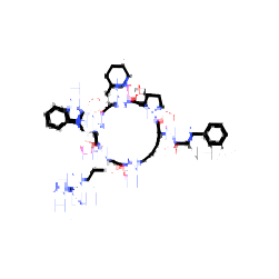 CC(=O)N[C@H](Cc1ccccc1)C(=O)N[C@H]1CCCNC(=O)[C@H](CCCNC(=N)N)NC(=O)[C@H](Cc2c[nH]c3ccccc23)NC(=O)[C@@H](CC2CCCCC2)NC(=O)[C@@H]2CCCN2C1=O